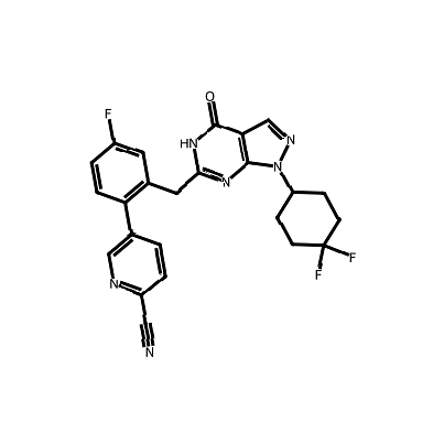 N#Cc1ccc(-c2ccc(F)cc2Cc2nc3c(cnn3C3CCC(F)(F)CC3)c(=O)[nH]2)cn1